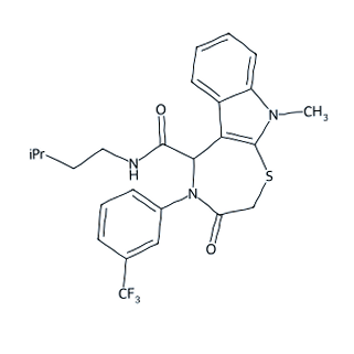 CC(C)CCNC(=O)C1c2c(n(C)c3ccccc23)SCC(=O)N1c1cccc(C(F)(F)F)c1